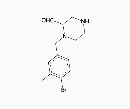 Cc1cc(CN2CCNCC2C=O)ccc1Br